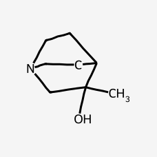 CC1(O)CN2CCC1CC2